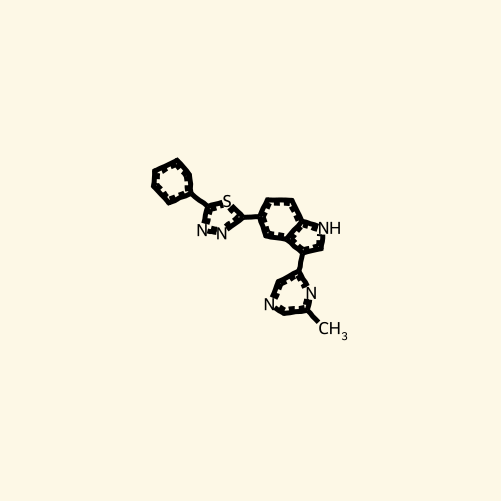 Cc1cncc(-c2c[nH]c3ccc(-c4nnc(-c5ccccc5)s4)cc23)n1